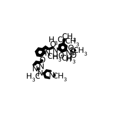 COc1c(NC(=O)c2cc3cccc(Oc4ccnc(N(C)C5CCN(C)CC5)n4)c3n2C)cc(C(C)(C)C)cc1NS(C)(=O)=O